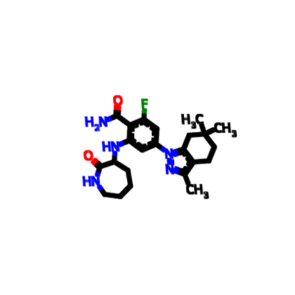 Cc1nn(-c2cc(F)c(C(N)=O)c(NC3CCCCNC3=O)c2)c2c1CCC(C)(C)C2